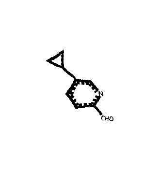 O=Cc1ccc(C2CC2)cn1